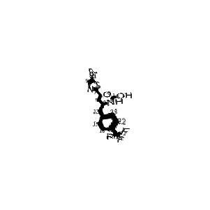 O=C(O)NC(CCc1ncc(Br)s1)Cc1ccc(C(F)(F)F)cc1